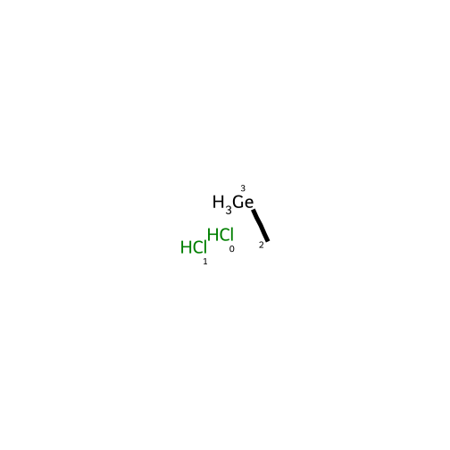 Cl.Cl.[CH3][GeH3]